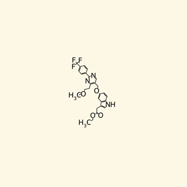 CCOC(=O)Cc1c[nH]c2ccc(OCc3cnc(-c4ccc(C(F)(F)F)cc4)nc3CCOC)cc12